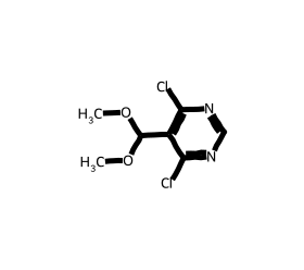 COC(OC)c1c(Cl)ncnc1Cl